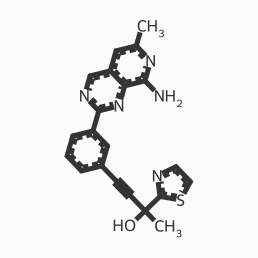 Cc1cc2cnc(-c3cccc(C#CC(C)(O)c4nccs4)c3)nc2c(N)n1